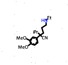 CCNCCCC(C#N)(c1ccc(OC)c(OC)c1)C(C)C